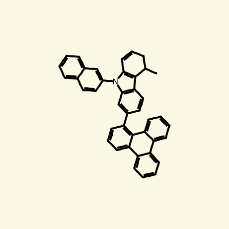 CC1CC=Cc2c1c1ccc(-c3cccc4c5ccccc5c5ccccc5c34)cc1n2-c1ccc2ccccc2c1